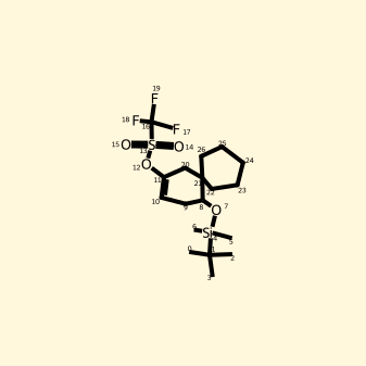 CC(C)(C)[Si](C)(C)OC1CC=C(OS(=O)(=O)C(F)(F)F)CC12CCCCC2